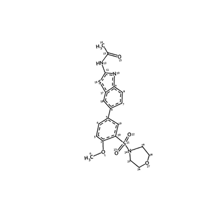 COc1ccc(-c2ccc3nc(NC(C)=O)sc3c2)cc1S(=O)(=O)N1CCOCC1